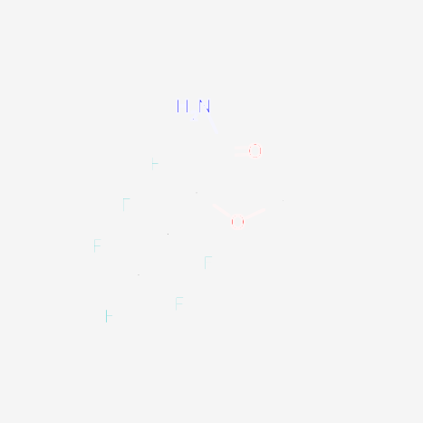 CC(C)(C)OC(F)(C(N)=O)C(F)(F)C(F)(F)F